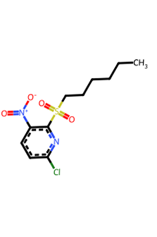 CCCCCCS(=O)(=O)c1nc(Cl)ccc1[N+](=O)[O-]